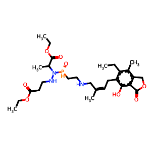 CCOC(=O)CCNN(C(C)C(=O)OCC)[PH](=O)CCNCC(C)=CCc1c(O)c2c(c(C)c1CC)COC2=O